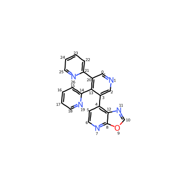 [c]1ncc(-c2ccnc3ocnc23)c(-c2ccccn2)c1-c1ccccn1